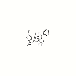 COc1ccc(F)cc1C(C)(C)CC(O)(CC(O)c1ccccc1)C(F)(F)F